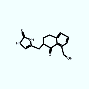 O=C1c2c(CO)cccc2CCC1Cc1c[nH]c(=S)[nH]1